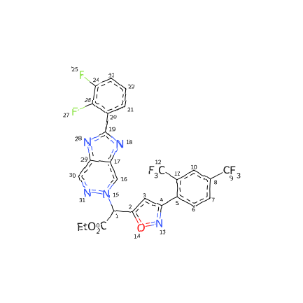 CCOC(=O)C(c1cc(-c2ccc(C(F)(F)F)cc2C(F)(F)F)no1)n1cc2nc(-c3cccc(F)c3F)nc-2cn1